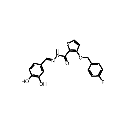 O=C(NN=Cc1ccc(O)c(O)c1)c1sccc1OCc1ccc(F)cc1